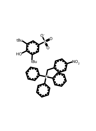 CC(C)(C)c1cc(S(=O)(=O)[O-])cc(C(C)(C)C)c1O.O=[N+]([O-])c1ccc(C[P+](c2ccccc2)(c2ccccc2)c2ccccc2)cc1